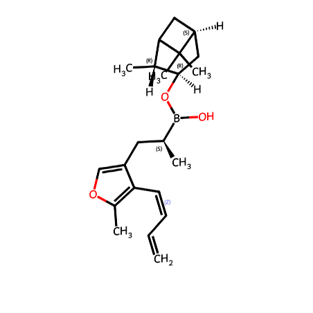 C=C/C=C\c1c(C[C@H](C)B(O)O[C@@H]2C[C@@H]3CC([C@H]2C)C3(C)C)coc1C